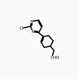 O=CCC1CC=C(c2ccnc(Cl)n2)CC1